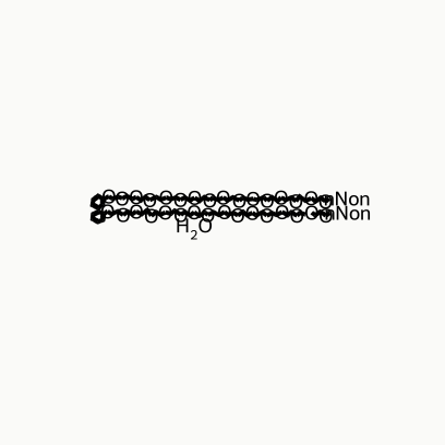 CCCCCCCCCOCCOCCOCCOCCOCCOCCOCCOCCOCCOCCOCCOCCOCCOCCOCCOc1ccccc1.CCCCCCCCCOCCOCCOCCOCCOCCOCCOCCOCCOCCOCCOCCOCCOCCOCCOCCOc1ccccc1.O